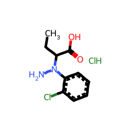 CCC(C(=O)O)N(N)c1ccccc1Cl.Cl